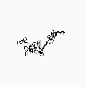 O=C(O)CC[C@@H](C(=O)O)N(O)C(=O)NN(CCCCNC(=O)Cn1cc(CCCF)nn1)C(=O)O